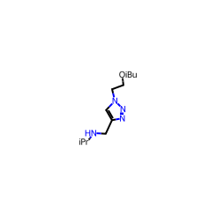 CC(C)COCCn1cc(CNC(C)C)nn1